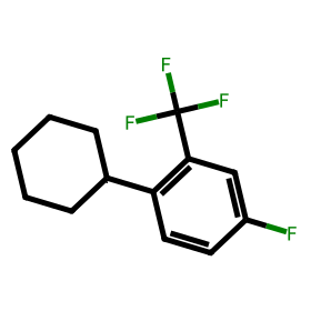 Fc1ccc([C]2CCCCC2)c(C(F)(F)F)c1